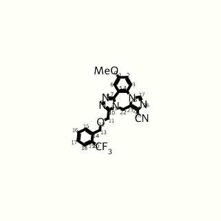 COc1ccc2c(c1)-c1nnc(COCc3ccccc3C(F)(F)F)n1Cc1c(C#N)ncn1-2